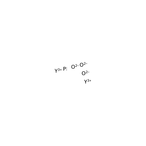 [O-2].[O-2].[O-2].[P].[Y+3].[Y+3]